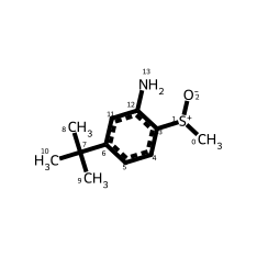 C[S+]([O-])c1ccc(C(C)(C)C)cc1N